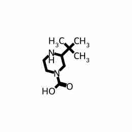 CC(C)(C)C1CN(C(=O)O)CCN1